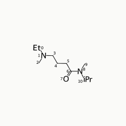 CCN(C)CCCC(=O)N(C)C(C)C